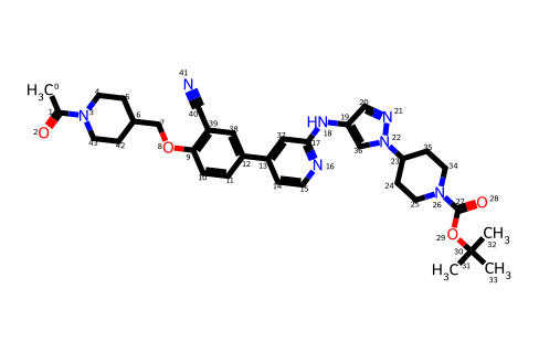 CC(=O)N1CCC(COc2ccc(-c3ccnc(Nc4cnn(C5CCN(C(=O)OC(C)(C)C)CC5)c4)c3)cc2C#N)CC1